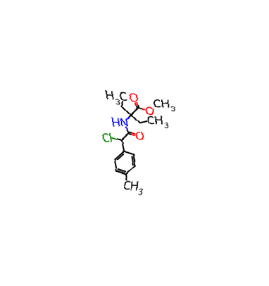 CCC(CC)(NC(=O)C(Cl)c1ccc(C)cc1)C(=O)OC